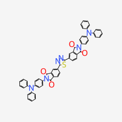 O=C1c2ccc(-c3nnc(-c4ccc5c(c4)C(=O)N(c4ccc(N(c6ccccc6)c6ccccc6)cc4)C5=O)s3)cc2C(=O)N1c1ccc(N(c2ccccc2)c2ccccc2)cc1